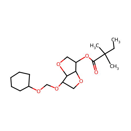 CCC(C)(C)C(=O)OC1COC2C(OCOC3CCCCC3)COC12